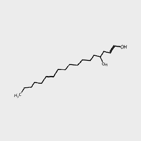 CCCCCCCCCCCCCCC(O)CC=CO